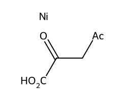 CC(=O)CC(=O)C(=O)O.[Ni]